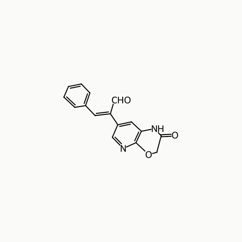 O=CC(=Cc1ccccc1)c1cnc2c(c1)NC(=O)CO2